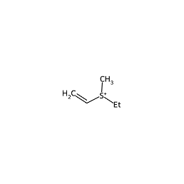 C=C[S+](C)CC